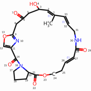 CC1=C\C(O)CC(=O)Cc2nc(co2)C(=O)N2CCCC2C(=O)OCC/C=C/C(=O)NC\C=C\1